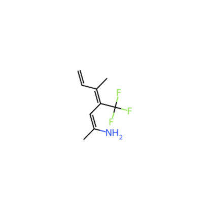 C=C/C(C)=C(\C=C(\C)N)C(F)(F)F